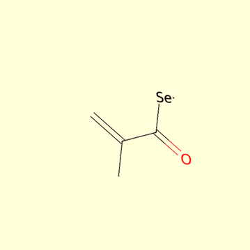 C=C(C)C(=O)[Se]